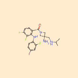 CC(C)NCC1(N)CN(C(=O)c2ccc(F)c(F)c2Nc2ccc(I)cc2F)C1